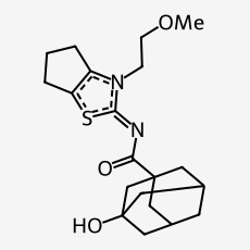 COCCn1c2c(sc1=NC(=O)C13CC4CC(CC(O)(C4)C1)C3)CCC2